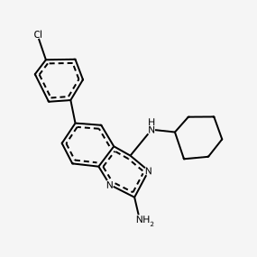 Nc1nc(NC2CCCCC2)c2cc(-c3ccc(Cl)cc3)ccc2n1